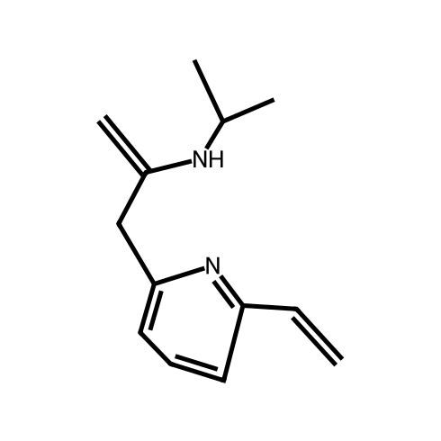 C=Cc1cccc(CC(=C)NC(C)C)n1